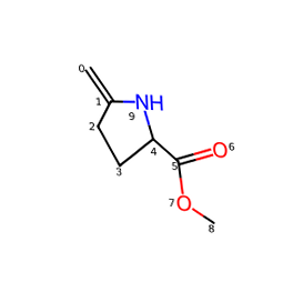 C=C1CCC(C(=O)OC)N1